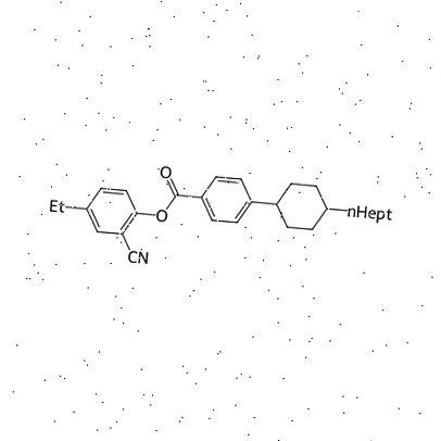 CCCCCCCC1CCC(c2ccc(C(=O)Oc3ccc(CC)cc3C#N)cc2)CC1